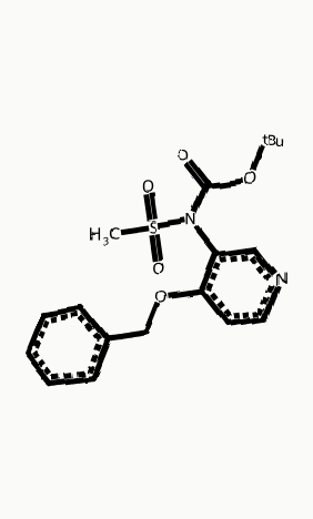 CC(C)(C)OC(=O)N(c1cnccc1OCc1ccccc1)S(C)(=O)=O